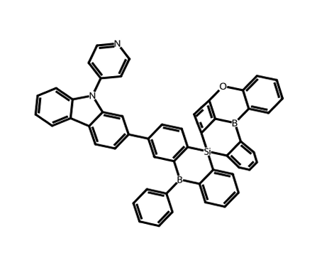 c1ccc(B2c3ccccc3[Si]3(c4ccc(-c5ccc6c7ccccc7n(-c7ccncc7)c6c5)cc42)c2ccccc2B2c4ccccc4Oc4cccc3c42)cc1